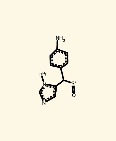 CCCn1cncc1C([S+]=O)c1ccc(N)cc1